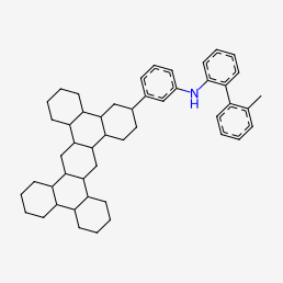 Cc1ccccc1-c1ccccc1Nc1cccc(C2CCC3C(C2)C2CCCCC2C2CC4C5CCCCC5C5CCCCC5C4CC32)c1